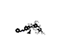 CC[C@@H]1CN(C(=O)c2cc(OC)c3c(c2)nc(-c2cc4ccc(/C=C/Cc5ccccc5)cc4n2CC2CC2)n3C)C(C)C1N